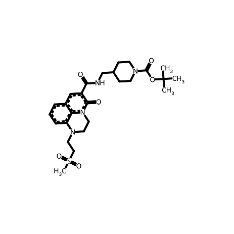 CC(C)(C)OC(=O)N1CCC(CNC(=O)c2cc3cccc4c3n(c2=O)CCN4CCS(C)(=O)=O)CC1